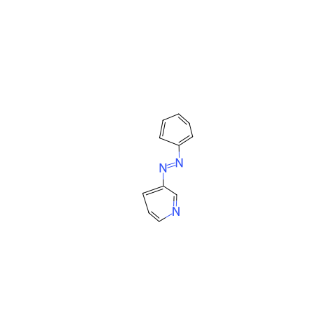 c1ccc(N=Nc2cccnc2)cc1